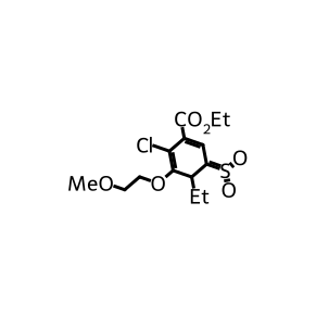 CCOC(=O)C1=CC(=S(=O)=O)C(CC)C(OCCOC)=C1Cl